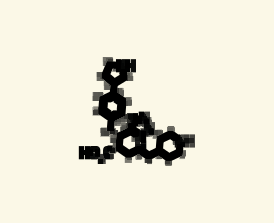 O=C(O)[C@@H](CCCC1CCNCC1)[C@H](Cc1ccc(C2CCNC2)cc1)c1nnn[nH]1